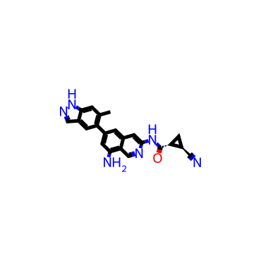 Cc1cc2[nH]ncc2cc1-c1cc(N)c2cnc(NC(=O)[C@@H]3C[C@H]3C#N)cc2c1